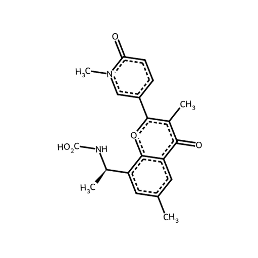 Cc1cc([C@@H](C)NC(=O)O)c2oc(-c3ccc(=O)n(C)c3)c(C)c(=O)c2c1